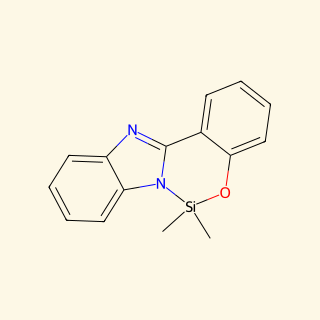 C[Si]1(C)Oc2ccccc2-c2nc3ccccc3n21